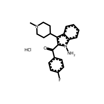 CN1CCC(c2c(C(=O)c3ccc(F)cc3)n(N)c3ccccc23)CC1.Cl